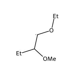 CCO[CH]C(CC)OC